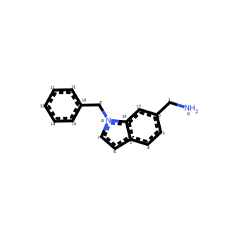 NCc1ccc2ccn(Cc3ccccc3)c2c1